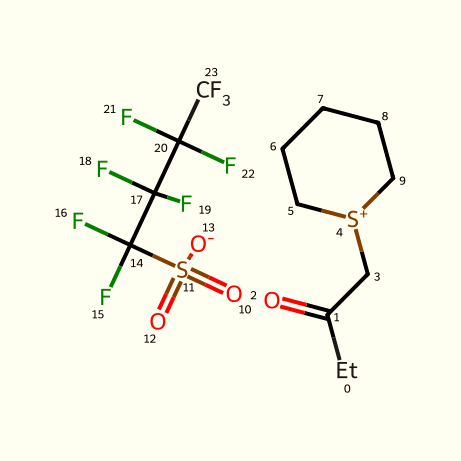 CCC(=O)C[S+]1CCCCC1.O=S(=O)([O-])C(F)(F)C(F)(F)C(F)(F)C(F)(F)F